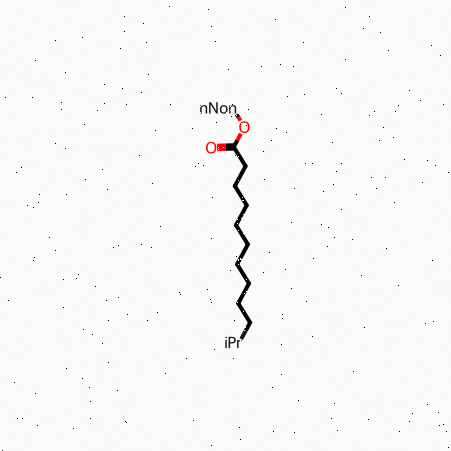 CCCCCCCCCOC(=O)CCCCCCCCCC(C)C